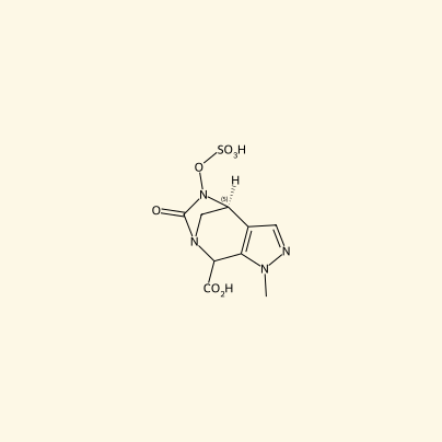 Cn1ncc2c1C(C(=O)O)N1C[C@H]2N(OS(=O)(=O)O)C1=O